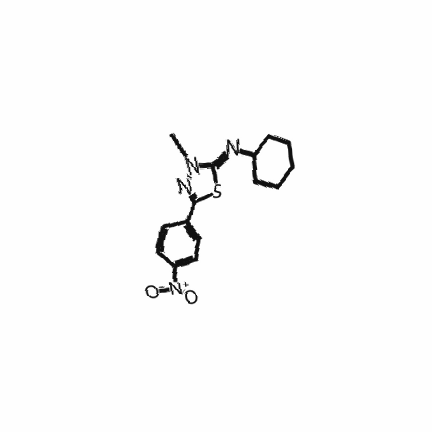 Cn1nc(-c2ccc([N+](=O)[O-])cc2)s/c1=N\C1CCCCC1